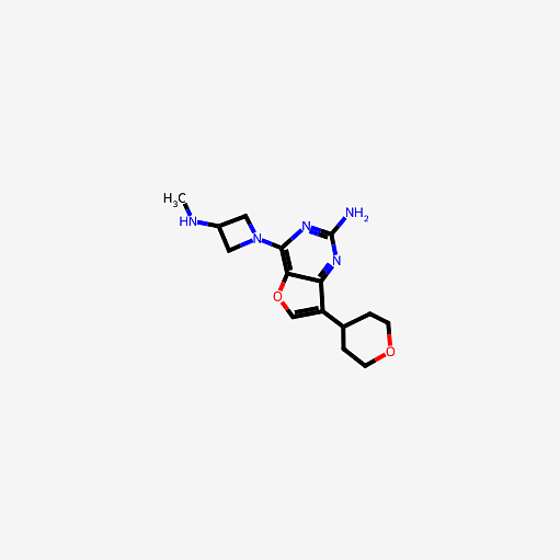 CNC1CN(c2nc(N)nc3c(C4CCOCC4)coc23)C1